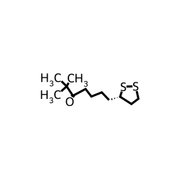 CC(C)(C)C(=O)CCCC[C@H]1CCSS1